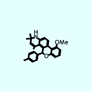 COc1cccc2c1-c1ccc3c(c1C(c1ccc(C)cc1)O2)C(C)=CC(C)(C)N3